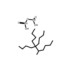 CCCCC(C)C(CCCC)(CCCC)CCCC.O=[PH](O)O[PH](=O)O